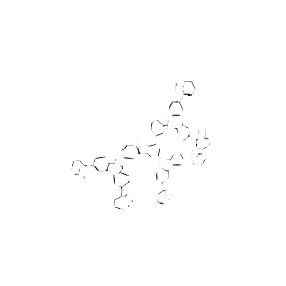 c1ccc(-c2ccc3c(c2)c2cc(-c4ccccn4)ccc2n3-c2cccc(-c3cc(-n4c5ccc(-c6ccccn6)cc5c5cc(-c6ccccn6)ccc54)cc4c3oc3ccc(-n5c6ccc(-c7ccccn7)cc6c6cc(-c7ccccn7)ccc65)cc34)c2)nc1